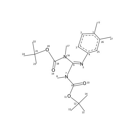 Cc1ccc(N=C(N(C)C(=O)OC(C)(C)C)N(C)C(=O)OC(C)(C)C)cc1C